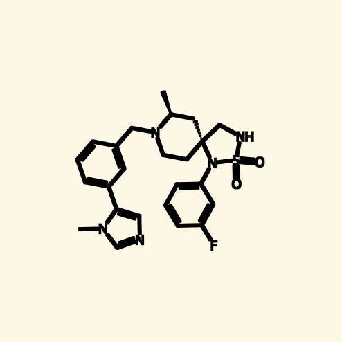 C[C@H]1C[C@]2(CCN1Cc1cccc(-c3cncn3C)c1)CNS(=O)(=O)N2c1cccc(F)c1